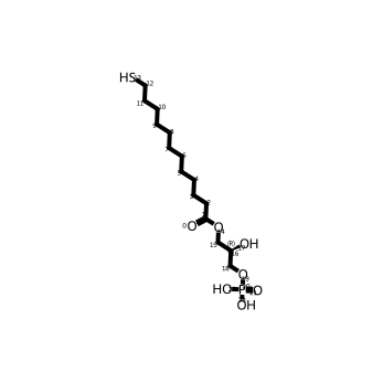 O=C(CCCCCCCCCCCS)OC[C@@H](O)COP(=O)(O)O